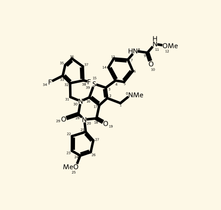 CNCc1c(-c2ccc(NC(=O)NOC)cc2)sc2c1c(=O)n(-c1ccc(OC)cc1)c(=O)n2Cc1c(F)cccc1F